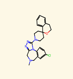 CN1Cc2cc(Cl)ccc2-n2c(nnc2N2CCC3(CC2)OCCc2ccccc23)C1